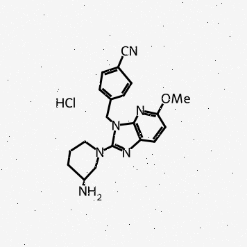 COc1ccc2nc(N3CCC[C@H](N)C3)n(Cc3ccc(C#N)cc3)c2n1.Cl